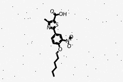 CCCCCCOc1ccc(-c2nc(C)c(C(=O)O)s2)cc1[N+](=O)[O-]